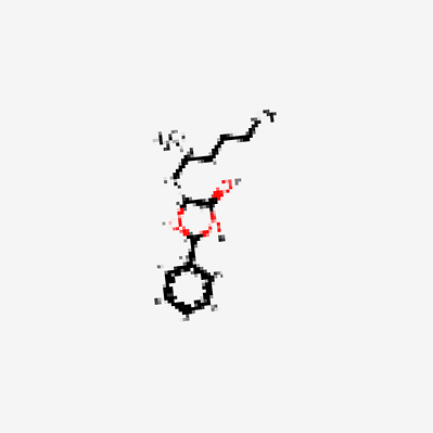 CC(C)CCC[C@@H](C)C[C@H]1OC(c2ccccc2)OC1=O